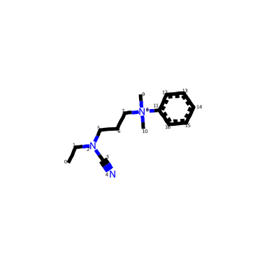 CCN(C#N)CCC[N+](C)(C)c1ccccc1